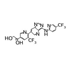 OC[C@@H](O)c1cnc(-c2cnc3c(Nc4ccc(C(F)(F)F)cn4)ncnc3c2)c(C(F)(F)F)c1